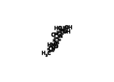 Cc1ccc(NC(=O)N2CC=C(c3ncc([C@H](O)[C@@H](O)CO)cc3Cl)CC2)nc1